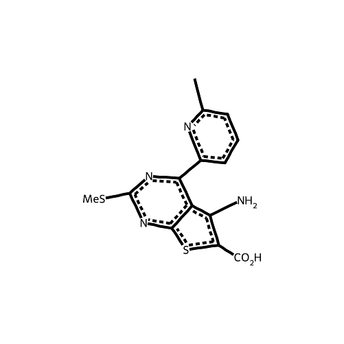 CSc1nc(-c2cccc(C)n2)c2c(N)c(C(=O)O)sc2n1